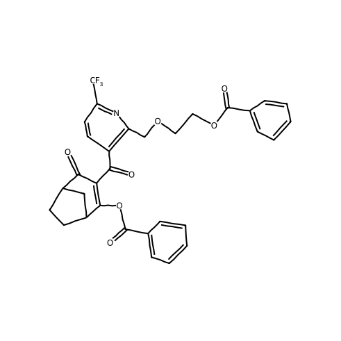 O=C(OCCOCc1nc(C(F)(F)F)ccc1C(=O)C1=C(OC(=O)c2ccccc2)C2CCC(C2)C1=O)c1ccccc1